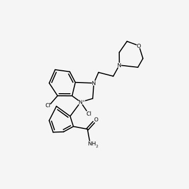 NC(=O)c1ccccc1[N+]1(Cl)CN(CCN2CCOCC2)c2cccc(Cl)c21